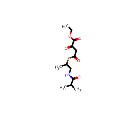 CCOC(=O)C(=O)CC(=O)SC(C)CNC(=O)C(C)C